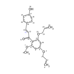 C=CCOc1cc(OC)c(C(=O)/C=C/c2ccc(O)cc2)c(OCC=C)c1